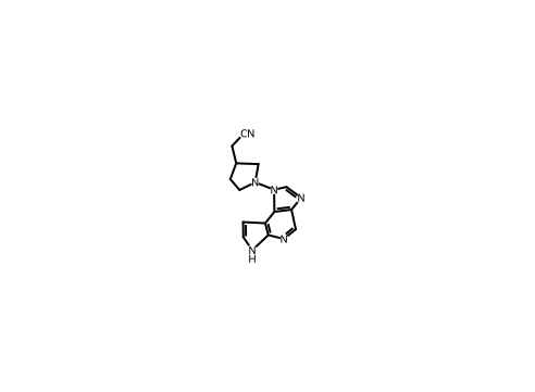 N#CCC1CCN(n2cnc3cnc4[nH]ccc4c32)C1